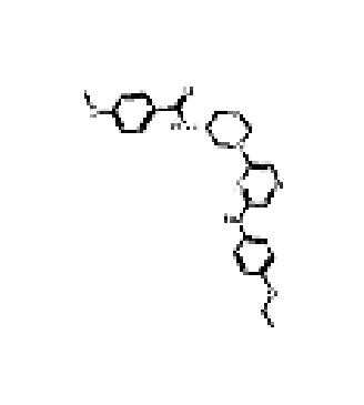 CCOc1ccc(Nc2cncc(N3CCC[C@@H](NC(=O)c4ccc(OC)cc4)C3)n2)cc1